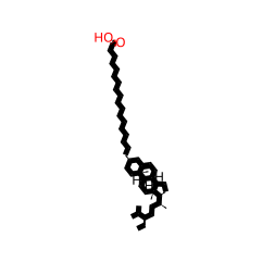 CC[C@H](CC[C@@H](C)[C@H]1CC[C@H]2[C@@H]3CC=C4C[C@@H](CCCCCCCCCCCCCCCCCC(=O)O)CC[C@]4(C)[C@H]3CC[C@]12C)C(C)C